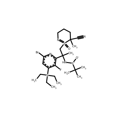 CC[Si](CC)(CC)c1cc(Br)nc(C(C)(CS2(=O)=NCCCC2(C)C#N)N[S+]([O-])C(C)(C)C)c1F